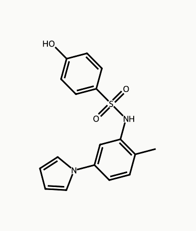 Cc1ccc(-n2cccc2)cc1NS(=O)(=O)c1ccc(O)cc1